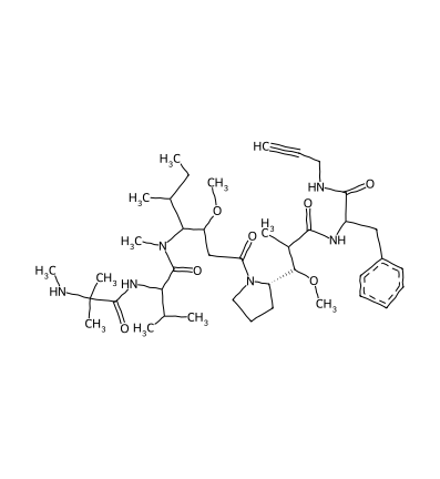 C#CCNC(=O)C(Cc1ccccc1)NC(=O)C(C)C(OC)[C@@H]1CCCN1C(=O)CC(OC)C(C(C)CC)N(C)C(=O)C(NC(=O)C(C)(C)NC)C(C)C